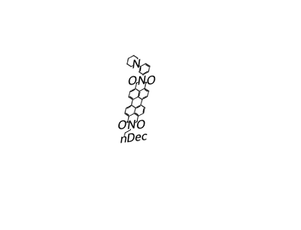 CCCCCCCCCCCCN1C(=O)c2ccc3c4ccc5c6c(ccc(c7ccc(c2c37)C1=O)c64)C(=O)N(c1cccc(N2CCCCC2)c1)C5=O